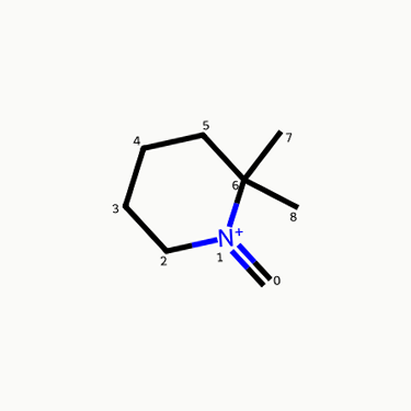 C=[N+]1CCCCC1(C)C